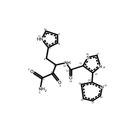 NC(=O)C(=O)C(Cc1ccc[nH]1)NC(=O)c1scnc1-c1ccccn1